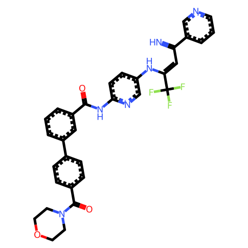 N=C(/C=C(\Nc1ccc(NC(=O)c2cccc(-c3ccc(C(=O)N4CCOCC4)cc3)c2)nc1)C(F)(F)F)c1cccnc1